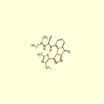 Cc1nc(C)c(C2=NN=C3C(=O)c4cccc(NC(=O)NN(C)C)c4C32)s1